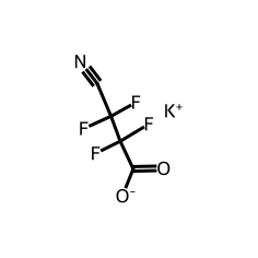 N#CC(F)(F)C(F)(F)C(=O)[O-].[K+]